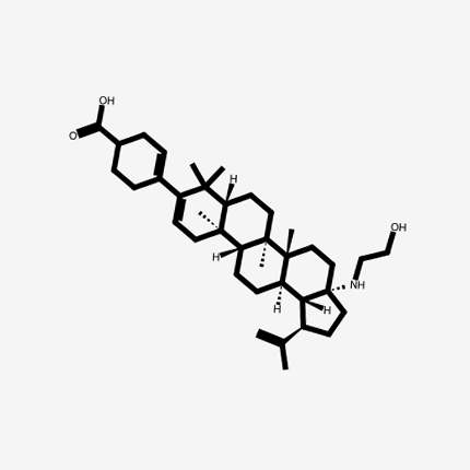 C=C(C)[C@@H]1CC[C@]2(NCCO)CC[C@]3(C)[C@H](CC[C@@H]4[C@@]5(C)CC=C(C6=CCC(C(=O)O)CC6)C(C)(C)[C@@H]5CC[C@]43C)[C@@H]12